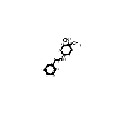 C[C@]1(C#N)CC[C@H](NCc2ccccc2)CC1